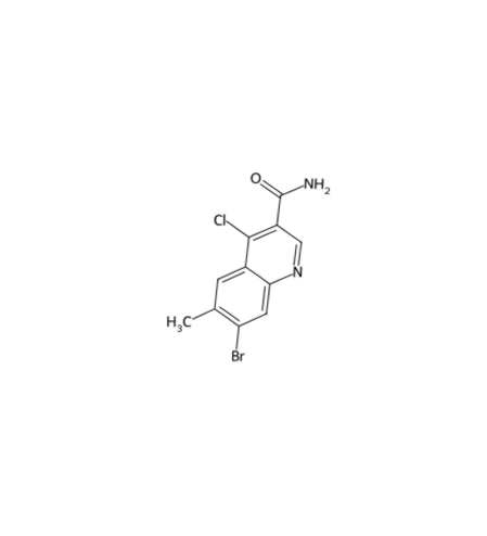 Cc1cc2c(Cl)c(C(N)=O)cnc2cc1Br